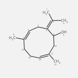 CC1=CCC(=C(C)C)C(O)CC(C)=CCC1